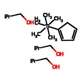 CC(C)CO.CC(C)CO.CC(C)CO.[CH3][Ti]([CH3])([CH3])([CH3])([CH3])[C]1=CC=CC1